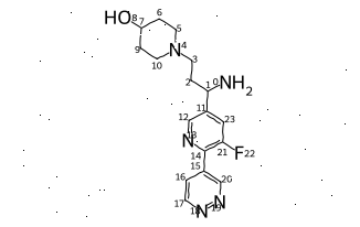 NC(CCN1CCC(O)CC1)c1cnc(-c2ccnnc2)c(F)c1